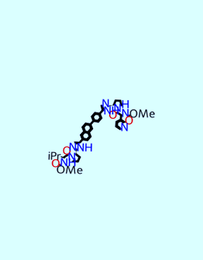 COC(=O)N[C@H](C(=O)N1CCC[C@H]1c1ncc(-c2ccc3cc(-c4ccc(-c5cnc([C@@H]6CCCN6C(=O)[C@H](NC(=O)OC)c6cccnc6)[nH]5)cc4)ccc3c2)[nH]1)C(C)C